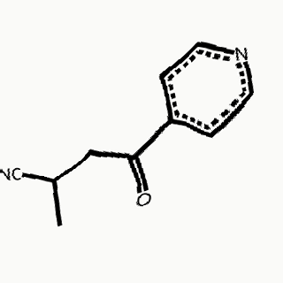 CC(C#N)CC(=O)c1ccncc1